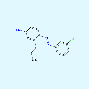 CCOc1cc(N)ccc1N=Nc1cccc(Cl)c1